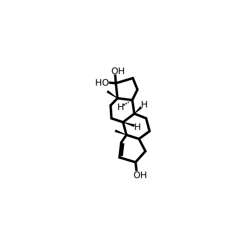 C[C@]12C=CC(O)CC1CC[C@@H]1[C@H]2CC[C@@]2(C)[C@H]1CCC2(O)O